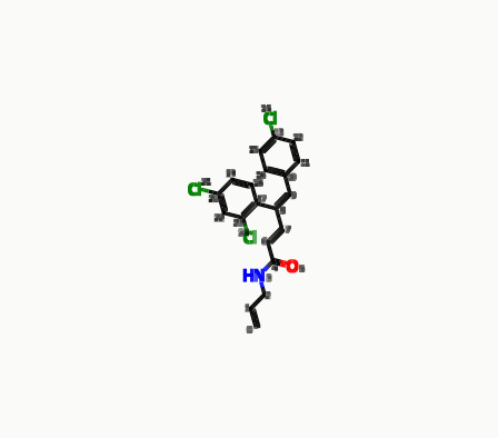 C=CCNC(=O)C=CC(=Cc1ccc(Cl)cc1)c1ccc(Cl)cc1Cl